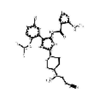 CNc1[nH]ncc1C(=O)Nc1sc(N2CCC(N(C)CCC#N)CC2)nc1-c1cc(Cl)ccc1OC(F)F